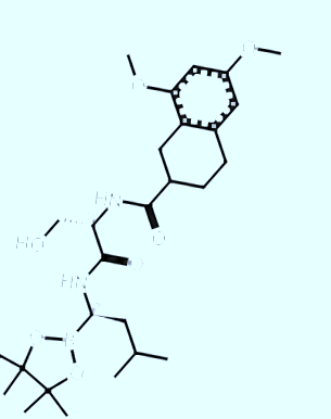 COc1cc2c(c(OC)c1)CC(C(=O)N[C@@H](CO)C(=O)N[C@@H](CC(C)C)B1OC(C)(C)C(C)(C)O1)CC2